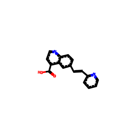 O=C(O)c1ccnc2ccc(/C=C/c3ccccn3)cc12